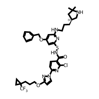 CC1(C)C[C@H](CCCNc2cc(OCc3ccccc3)cc(SNC(=O)c3ccc(-n4ccc(OCCCC5(C(F)(F)F)CC5)n4)nc3Cl)n2)CN1